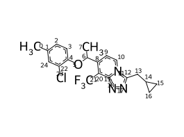 Cc1ccc(OC(C)c2ccn3c(CC4CC4)nnc3c2C(F)(F)F)c(Cl)c1